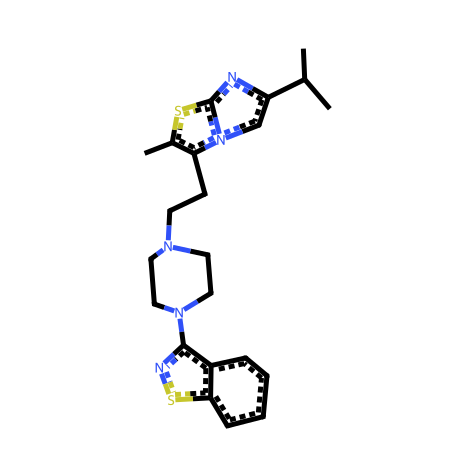 Cc1sc2nc(C(C)C)cn2c1CCN1CCN(c2nsc3ccccc23)CC1